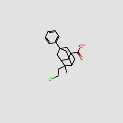 CC1(CCCl)C2CC3(C(=O)O)CC1CC(c1ccccc1)(C2)C3